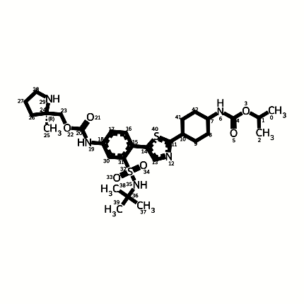 CC(C)OC(=O)NC1CCC(c2ncc(-c3ccc(NC(=O)OC[C@@]4(C)CCCN4)cc3S(=O)(=O)NC(C)(C)C)s2)CC1